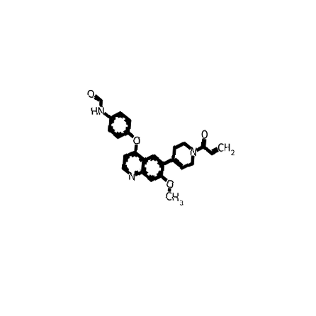 C=CC(=O)N1CC=C(c2cc3c(Oc4ccc(NC=O)cc4)ccnc3cc2OC)CC1